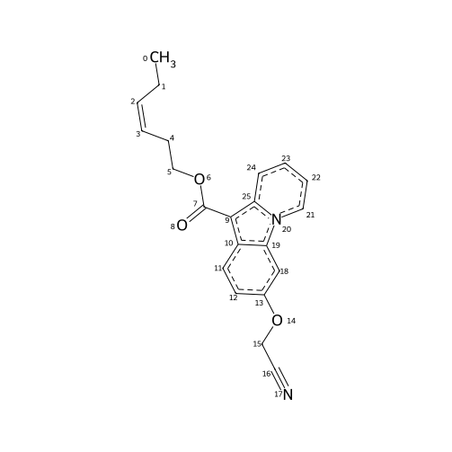 CC/C=C\CCOC(=O)c1c2ccc(OCC#N)cc2n2ccccc12